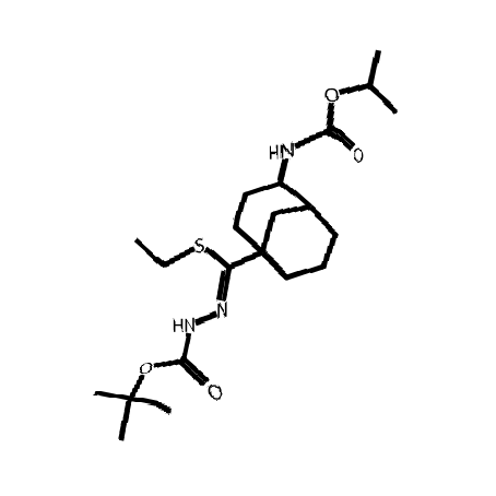 CCSC(=NNC(=O)OC(C)(C)C)C12CCCC(C1)C(NC(=O)OC(C)C)CC2